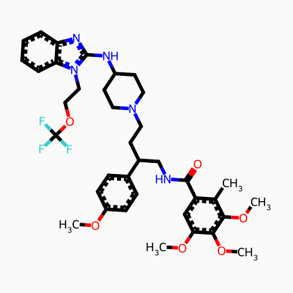 COc1ccc(C(CCN2CCC(Nc3nc4ccccc4n3CCOC(F)(F)F)CC2)CNC(=O)c2cc(OC)c(OC)c(OC)c2C)cc1